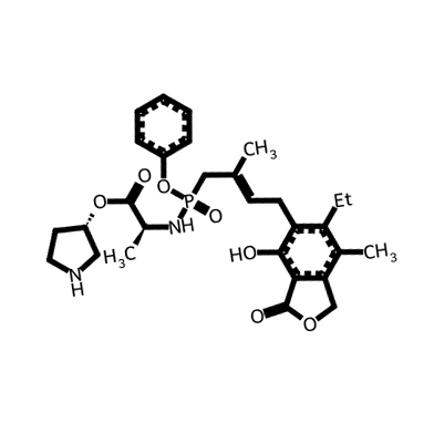 CCc1c(C)c2c(c(O)c1C/C=C(\C)CP(=O)(N[C@@H](C)C(=O)O[C@H]1CCNC1)Oc1ccccc1)C(=O)OC2